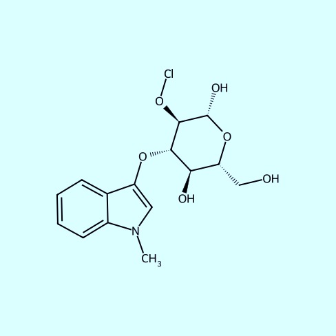 Cn1cc(O[C@H]2[C@H](O)[C@@H](CO)O[C@@H](O)[C@@H]2OCl)c2ccccc21